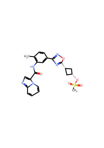 Cc1ccc(-c2noc([C@H]3C[C@@H](OS(C)(=O)=O)C3)n2)cc1NC(=O)c1cnc2ccccn12